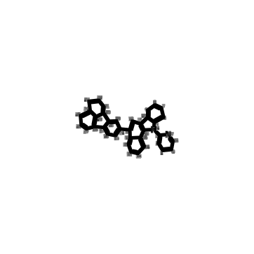 c1ccc(-n2c3ccccc3c3cc(-c4ccc5c(c4)-c4cccc6cccc-5c46)c4ccccc4c32)nc1